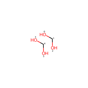 OCO.OCO